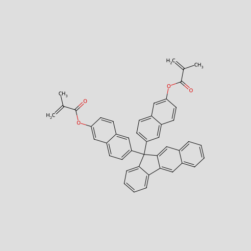 C=C(C)C(=O)Oc1ccc2cc(C3(c4ccc5cc(OC(=O)C(=C)C)ccc5c4)c4ccccc4-c4cc5ccccc5cc43)ccc2c1